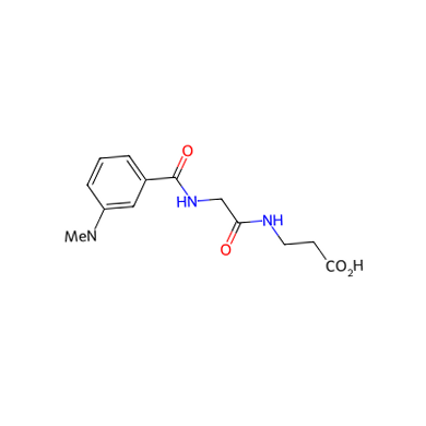 CNc1cccc(C(=O)NCC(=O)NCCC(=O)O)c1